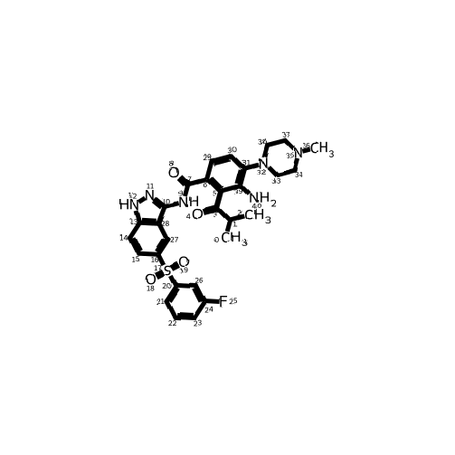 CC(C)C(=O)c1c(C(=O)Nc2n[nH]c3ccc(S(=O)(=O)c4cccc(F)c4)cc23)ccc(N2CCN(C)CC2)c1N